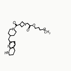 COCCCOC(=O)CN1CC(C(=O)N2CCC(Cc3ccc4c(n3)NCCC4)CC2)C1